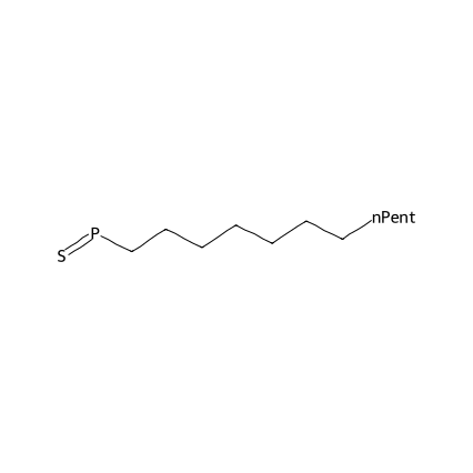 CCCCCCCCCCCCP=S